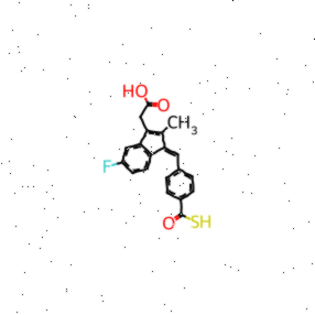 CC1=C(CC(=O)O)c2cc(F)ccc2/C1=C\c1ccc(C(=O)S)cc1